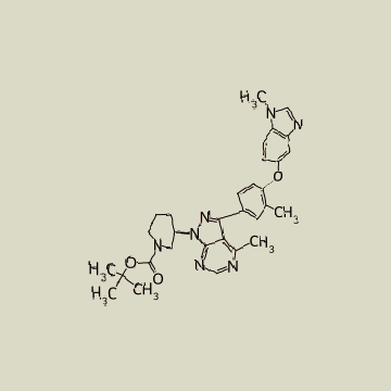 Cc1cc(-c2nn([C@@H]3CCCN(C(=O)OC(C)(C)C)C3)c3ncnc(C)c23)ccc1Oc1ccc2c(c1)ncn2C